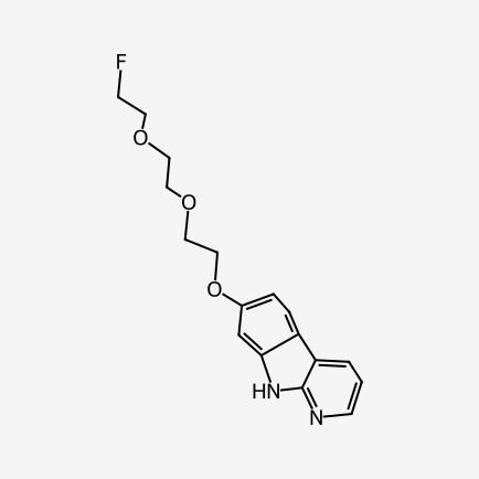 FCCOCCOCCOc1ccc2c(c1)[nH]c1ncccc12